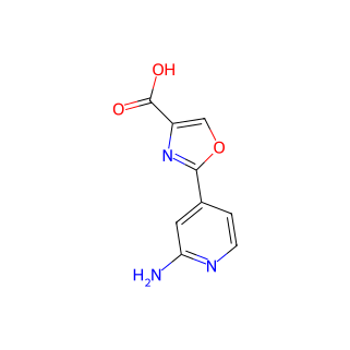 Nc1cc(-c2nc(C(=O)O)co2)ccn1